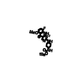 COc1ccc(F)cc1C(=O)c1cnc(N[C@H]2CC[C@H](NC(=O)OC(C)(C)C)CC2)nc1N